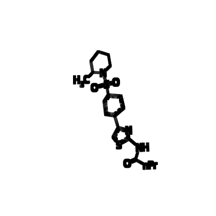 CCCC(=O)Nc1nc(-c2ccc(S(=O)(=O)N3CCCCC3C)cc2)cs1